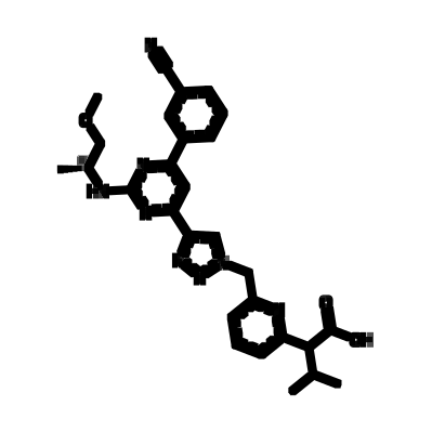 COC[C@@H](C)Nc1nc(-c2cccc(C#N)c2)cc(-c2cn(Cc3cccc(C(C(=O)O)C(C)C)n3)nn2)n1